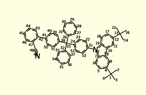 CC(C)(C)c1ccc2c(c1)c1cc(C(C)(C)C)ccc1n2-c1ccc(C(c2ccccc2)(c2ccccc2)c2ccc(-c3ccccc3C#N)cc2)cc1